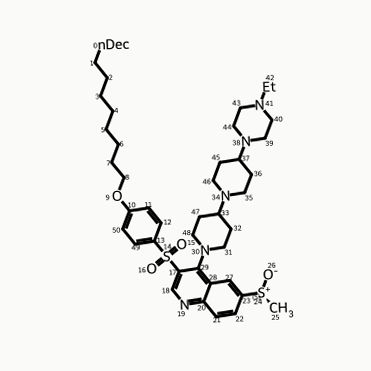 CCCCCCCCCCCCCCCCCCOc1ccc(S(=O)(=O)c2cnc3ccc([S@@+](C)[O-])cc3c2N2CCC(N3CCC(N4CCN(CC)CC4)CC3)CC2)cc1